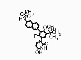 COc1c(C(C)(C)C)cc(N2C=CC(O)NC2=O)c(F)c1-c1ccc2cc(NS(C)(=O)=O)ccc2c1